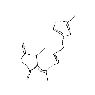 CC(C=CCc1coc(C)c1)=C1C(=O)OC(=O)C1C